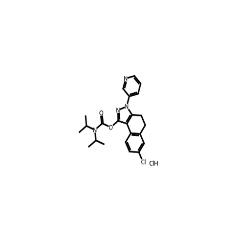 CC(C)N(C(=O)Oc1nn(-c2cccnc2)c2c1-c1ccc(Cl)cc1CC2)C(C)C.Cl